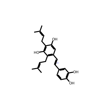 CC(C)=CCc1c(O)cc(/C=C/c2ccc(O)c(O)c2)c(CC=C(C)C)c1O